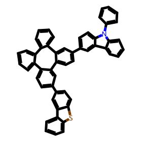 c1ccc(-n2c3ccccc3c3cc(-c4ccc5c(c4)-c4ccccc4-c4ccccc4-c4ccc(-c6ccc7sc8ccccc8c7c6)cc4-5)ccc32)cc1